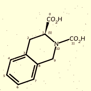 O=C(O)[C@@H]1Cc2ccccc2CN1C(=O)O